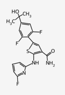 CC(C)(O)c1cc(F)c(-c2cc(C(N)=O)c(Nc3cccc(F)n3)s2)c(F)c1